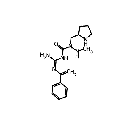 C=C(/N=C(/N)NC(=O)N(CC1CCCN1)NC)c1ccccc1